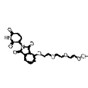 COCCOCCOCCOc1cccc2c1C(=O)N(C1CCC(=O)NC1=O)C2=O